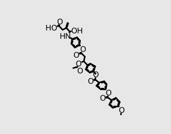 C=C(CC(=O)O)C(O)Nc1ccc(OC(=O)CC(OC(C)=O)c2ccc(OC(=O)c3ccc(OC(=O)c4ccc(OC)cc4)cc3)cc2)cc1